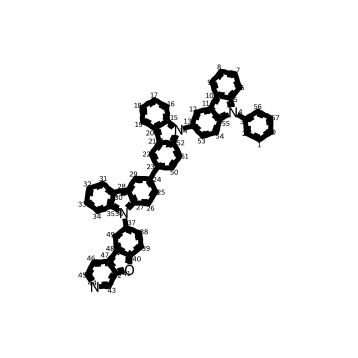 c1ccc(-n2c3ccccc3c3cc(-n4c5ccccc5c5cc(-c6ccc7c(c6)c6ccccc6n7-c6ccc7oc8cnccc8c7c6)ccc54)ccc32)cc1